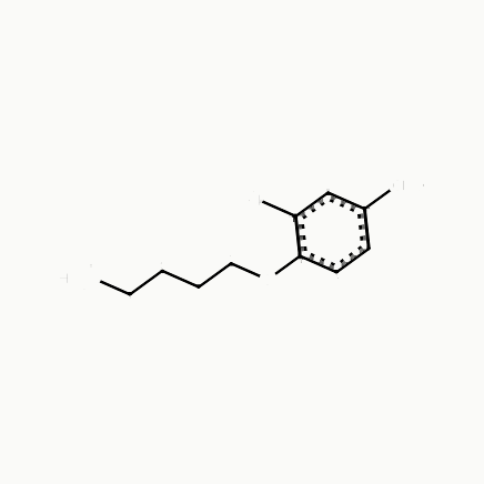 O=Cc1ccc(OCCCCC(=O)O)c(Cl)c1